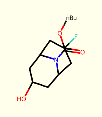 CCCCOC(=O)N1C2CC(O)CC1CC(F)C2